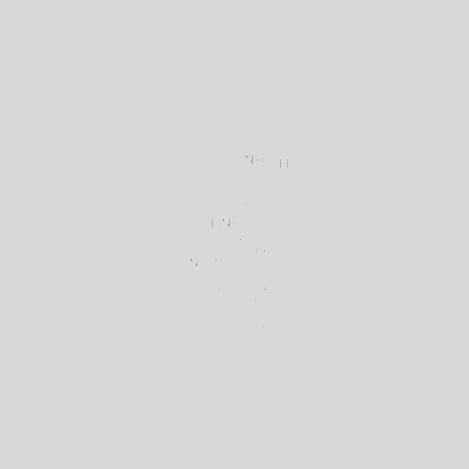 CN(C)CCNC(=O)C(N)c1cccs1